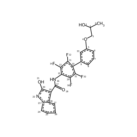 CC(O)COc1cccc(-c2c(F)c(F)c(NC(=O)c3c(O)nn4ccccc34)c(F)c2F)c1